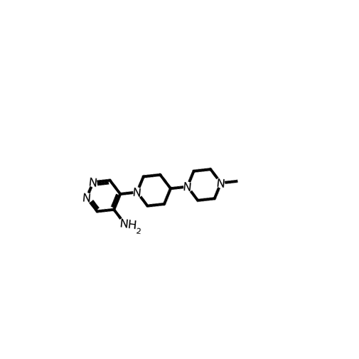 CN1CCN(C2CCN(c3cnncc3N)CC2)CC1